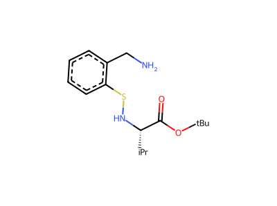 CC(C)[C@H](NSc1ccccc1CN)C(=O)OC(C)(C)C